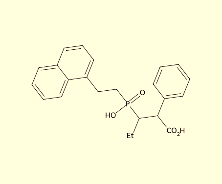 CCC(C(C(=O)O)c1ccccc1)P(=O)(O)CCc1cccc2ccccc12